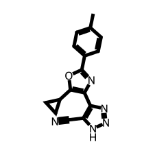 Cc1ccc(-c2nc(-c3nn[nH]c3C#N)c(C3CC3)o2)cc1